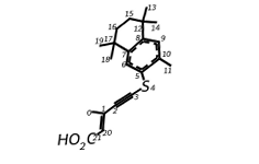 C/C(C#CSc1cc2c(cc1C)C(C)(C)CCC2(C)C)=C\C(=O)O